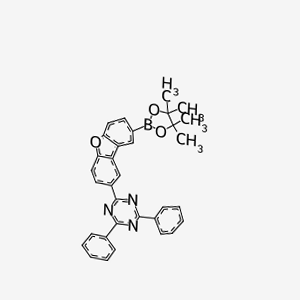 CC1(C)OB(c2ccc3oc4ccc(-c5nc(-c6ccccc6)nc(-c6ccccc6)n5)cc4c3c2)OC1(C)C